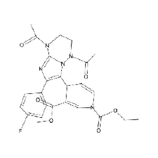 CCOC(=O)N1C=CC(c2c(-c3ccc(F)cc3)nc3n2N(C(C)=O)CCN3C(C)=O)C(C(=O)OC)=C1